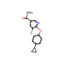 CNC(=O)c1cnc(Oc2ccc(C3CC3)cc2)c(F)c1